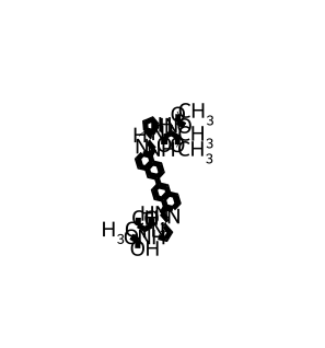 COC(=O)N[C@H](C(=O)N1[C@@H]2CC[C@@H](C2)[C@H]1c1nc2ccc3cc(-c4ccc5c(ccc6nc([C@@H]7CCCN7C(=O)[C@@H](NC(=O)O)C(C)C)[nH]c65)c4)ccc3c2[nH]1)[C@@H](C)OC